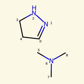 C1=NNCC1.CN(C)C